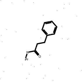 CC(C)[N]C(=O)CCc1ccccc1